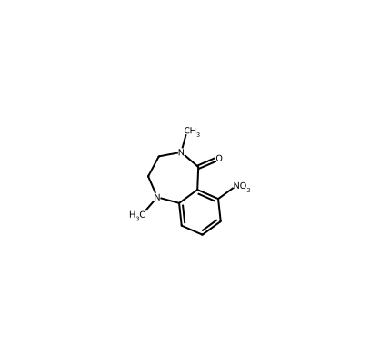 CN1CCN(C)c2cccc([N+](=O)[O-])c2C1=O